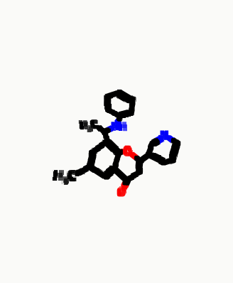 Cc1cc(C(C)Nc2ccccc2)c2oc(-c3cccnc3)cc(=O)c2c1